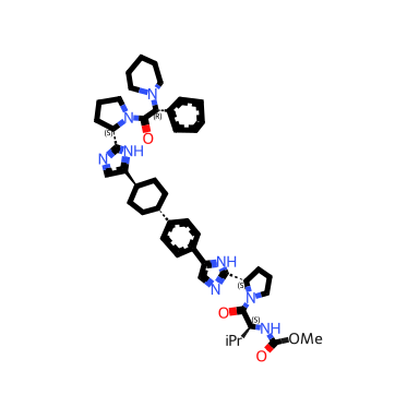 COC(=O)N[C@H](C(=O)N1CCC[C@H]1c1ncc(-c2ccc([C@H]3CC[C@H](c4cnc([C@@H]5CCCN5C(=O)[C@@H](c5ccccc5)N5CCCCC5)[nH]4)CC3)cc2)[nH]1)C(C)C